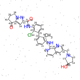 Cc1c(Nc2nccc3cc(CN4CC[C@@H](O)C4)cnc23)cccc1-c1cccc(NC(=O)c2cc3n(n2)CCCC3=O)c1Cl